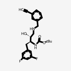 C#Cc1cccc(CNC[C@@H](O)[C@H](Cc2cc(F)cc(F)c2)NC(=O)OC(C)(C)C)c1